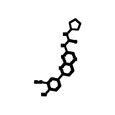 COc1cc(-c2ccc3ncc(NC(=O)NC4CCCC4)nc3n2)ccc1O